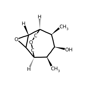 C[C@@H]1[C@H](O)[C@H](C)[C@H]2COC[C@@H]1C1O[C@@H]12